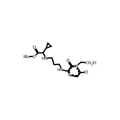 CCOC(=O)Cn1c(Cl)cnc(NCCCNC(C(=O)OC(C)(C)C)C2CC2)c1=O